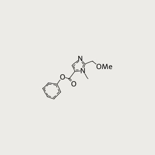 COCc1ncc(C(=O)Oc2ccccc2)n1C